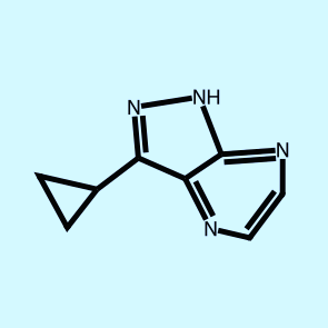 c1cnc2c(C3CC3)n[nH]c2n1